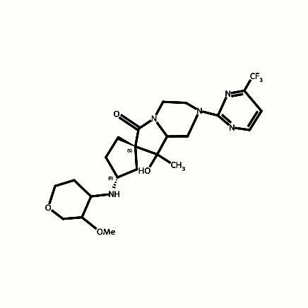 COC1COCCC1N[C@@H]1CC[C@@]2(C1)C(=O)N1CCN(c3nccc(C(F)(F)F)n3)CC1C2(C)O